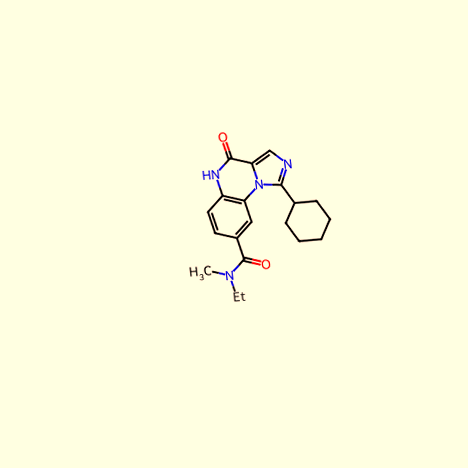 CCN(C)C(=O)c1ccc2[nH]c(=O)c3cnc(C4CCCCC4)n3c2c1